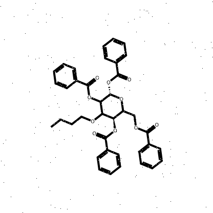 CCCCOC1C(OC(=O)c2ccccc2)[C@H](OC(=O)c2ccccc2)OC(COC(=O)c2ccccc2)[C@H]1OC(=O)c1ccccc1